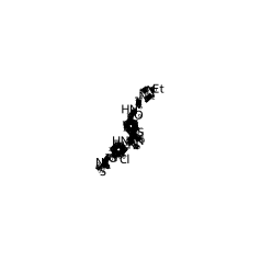 CCN1CCN(CCNC(=O)Cc2ccc3c(c2)sc2ncnc(Nc4ccc(OCc5cscn5)c(Cl)c4)c23)CC1